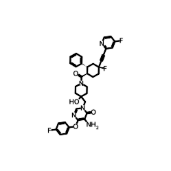 Nc1c(Oc2ccc(F)cc2)ncn(CC2(O)CCN(C(=O)[C@@H]3CC[C@@](F)(C#Cc4cc(F)ccn4)C[C@H]3c3ccccc3)CC2)c1=O